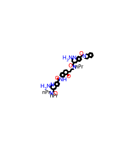 CCCN(CCC)C(=O)C1=Cc2ccc(C(=O)Nc3ccc4c(c3)C(=O)C(CCCN(CCC)C(=O)C3=Cc5ccc(C(=O)N6CCc7ccccc7C6)cc5N=C(N)C3)CC4)cc2N=C(N)C1